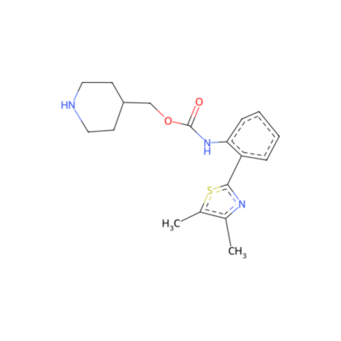 Cc1nc(-c2ccccc2NC(=O)OCC2CCNCC2)sc1C